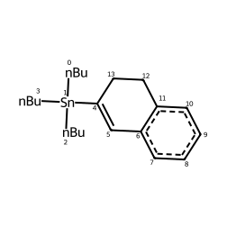 CCC[CH2][Sn]([CH2]CCC)([CH2]CCC)[C]1=Cc2ccccc2CC1